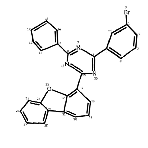 Brc1cccc(-c2nc(-c3ccccc3)nc(-c3cccc4c3oc3ccccc34)n2)c1